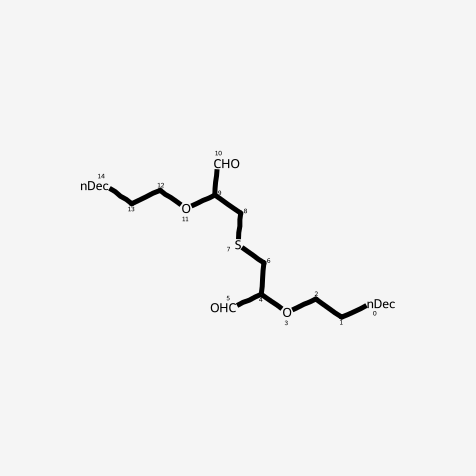 CCCCCCCCCCCCOC(C=O)CSCC(C=O)OCCCCCCCCCCCC